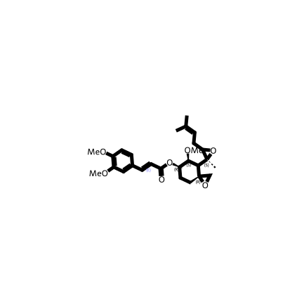 COc1ccc(/C=C/C(=O)O[C@@H]2CC[C@]3(CO3)C([C@]3(C)OC3CC=C(C)C)[C@@H]2OC)cc1OC